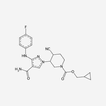 N#CC1CCN(C(=O)OCC2CC2)CC1n1cc(C(N)=O)c(Nc2ccc(F)cc2)n1